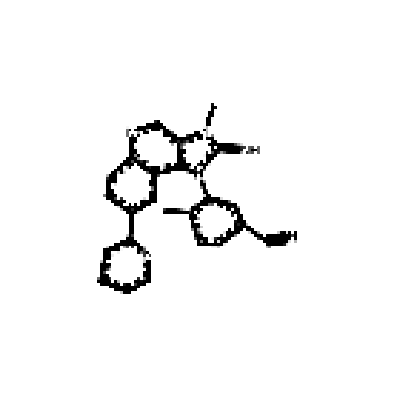 Cc1ccc(C#N)cc1-n1c(=N)n(C)c2cnc3ccc(-c4ccccn4)cc3c21